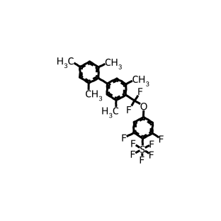 Cc1cc(C)c(-c2cc(C)c(C(F)(F)Oc3cc(F)c(S(F)(F)(F)(F)F)c(F)c3)c(C)c2)c(C)c1